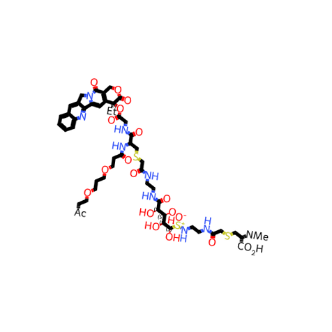 CC[C@@]1(OC(=O)CNC(=O)C(CSCC(=O)NCCNC(=O)[C@@H](O)[C@H](O)[C@H](O)[C@@H](O)[S+]([O-])NCCNC(=O)CSCC(NC)C(=O)O)NC(=O)CCOCCCOCCC(C)=O)C(=O)OCc2c1cc1n(c2=O)Cc2cc3ccccc3nc2-1